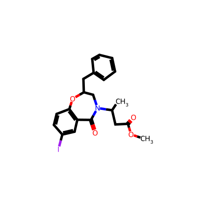 COC(=O)CC(C)N1CC(Cc2ccccc2)Oc2ccc(I)cc2C1=O